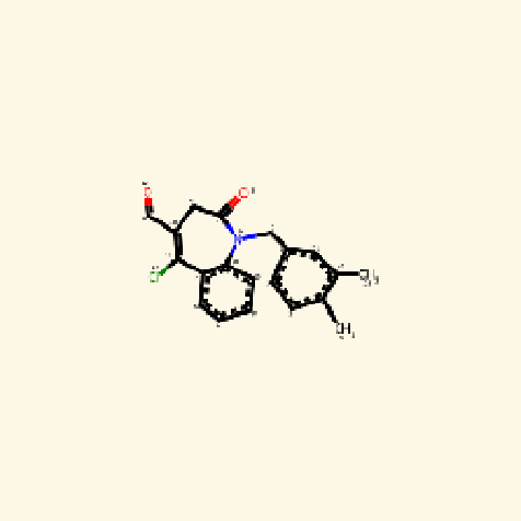 Cc1ccc(CN2C(=O)CC(C=O)=C(Cl)c3ccccc32)cc1C